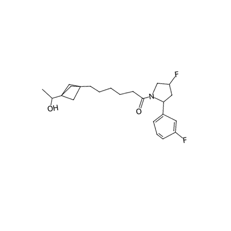 CC(O)C12CC(CCCCCC(=O)N3CC(F)CC3c3cccc(F)c3)(C1)C2